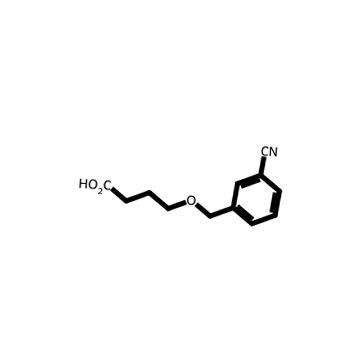 N#Cc1cccc(COCCCC(=O)O)c1